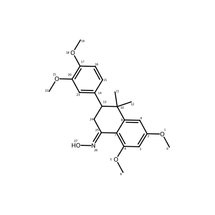 COc1cc(OC)c2c(c1)C(C)(C)C(c1ccc(OC)c(OC)c1)CC2=NO